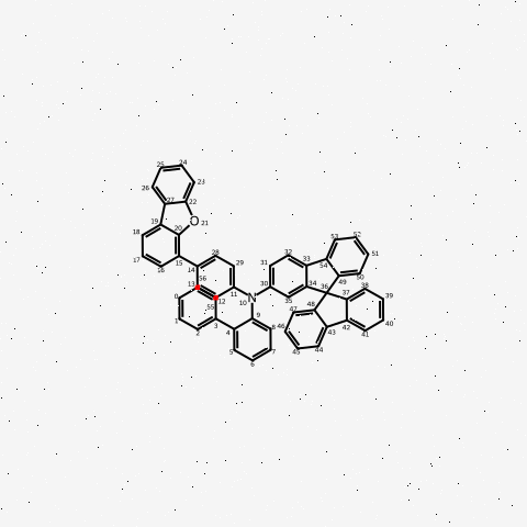 c1ccc(-c2ccccc2N(c2ccc(-c3cccc4c3oc3ccccc34)cc2)c2ccc3c(c2)C2(c4ccccc4-c4ccccc42)c2ccccc2-3)cc1